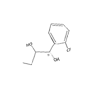 CCC(O)[C@@H](O)c1ccccc1Cl